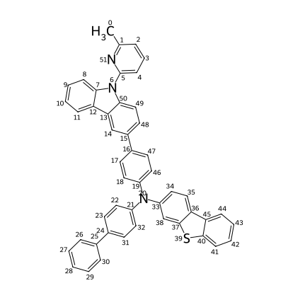 Cc1cccc(-n2c3ccccc3c3cc(-c4ccc(N(c5ccc(-c6ccccc6)cc5)c5ccc6c(c5)sc5ccccc56)cc4)ccc32)n1